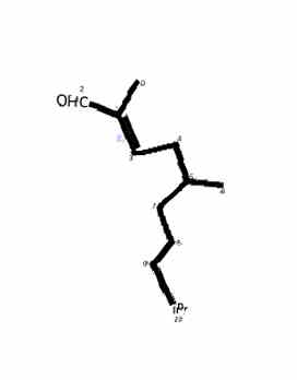 C/C(C=O)=C\CC(C)CCCC(C)C